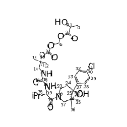 CC(O)C(=O)OCOC(=O)OC(C)(C)CNC(=O)N[C@@H](C(=O)N1CC[C@](O)(c2ccc(Cl)cc2)C(C)(C)C1)C(C)C